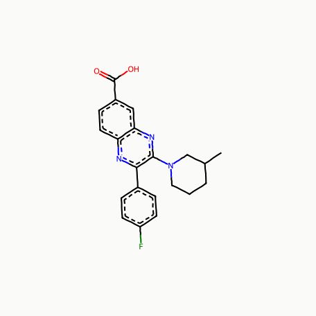 CC1CCCN(c2nc3cc(C(=O)O)ccc3nc2-c2ccc(F)cc2)C1